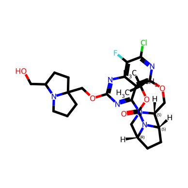 CC(C)(C)OC(=O)N1[C@@H]2CC[C@H]1[C@H]1COc3nc(Cl)c(F)c4nc(OCC56CCCN5C(CO)CC6)nc(c34)N1C2